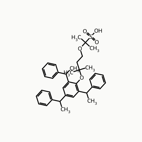 CC(c1ccccc1)c1cc(C(C)c2ccccc2)c(OC(C)(C)CCOC(C)(C)S(=O)(=O)O)c(C(C)c2ccccc2)c1